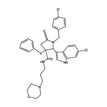 O=C1CC(Sc2ccccc2)(C(=O)NCCCN2CCOCC2)C(c2c[nH]c3cc(Cl)ccc23)N1Cc1ccc(Cl)cc1